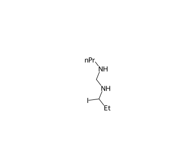 CCCNCNC(I)CC